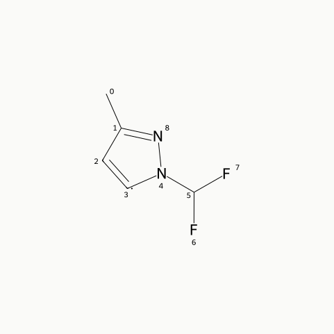 Cc1c[c]n(C(F)F)n1